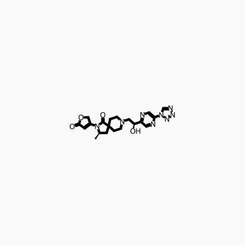 C[C@@H]1CC2(CCN(C[C@H](O)c3cnc(-n4cnnn4)cn3)CC2)C(=O)N1C1=CC(=O)OC1